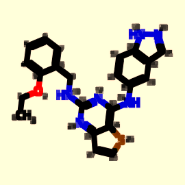 CCOc1ccccc1CNc1nc(Nc2ccc3[nH]ncc3c2)c2sccc2n1